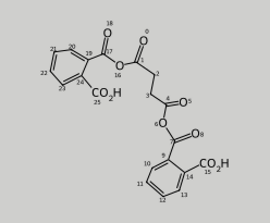 O=C(CCC(=O)OC(=O)c1ccccc1C(=O)O)OC(=O)c1ccccc1C(=O)O